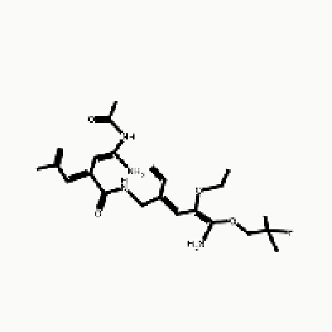 C=C/C(=C\C(OCC)=C(/N)OCC(C)(C)F)CNC(=O)C(/C=C(\N)NC(C)=O)=C/C(=C)C